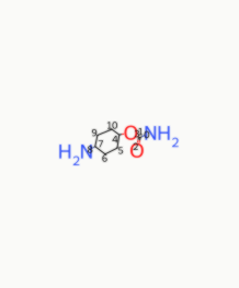 NC(=O)OC1CCC(N)CC1